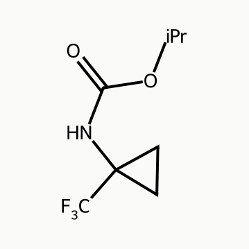 CC(C)OC(=O)NC1(C(F)(F)F)CC1